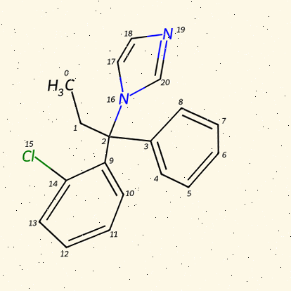 CCC(c1ccccc1)(c1ccccc1Cl)n1ccnc1